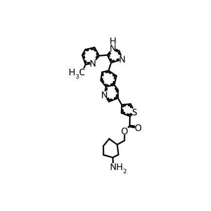 Cc1cccc(-c2[nH]cnc2-c2ccc3ncc(-c4csc(C(=O)OCC5CCCC(N)C5)c4)cc3c2)n1